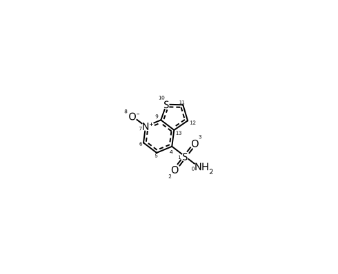 NS(=O)(=O)c1cc[n+]([O-])c2sccc12